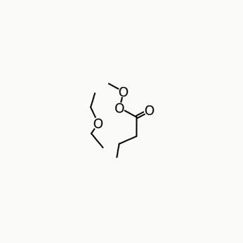 CCCC(=O)OOC.CCOCC